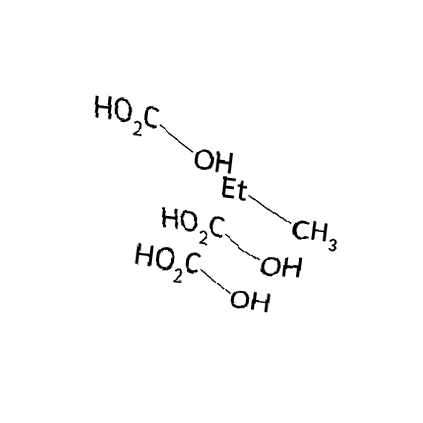 CCC.O=C(O)O.O=C(O)O.O=C(O)O